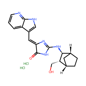 Cl.Cl.O=C1NC(N[C@H]2[C@@H]3CC[C@@H](C3)[C@@H]2CO)=NC1=Cc1c[nH]c2ncccc12